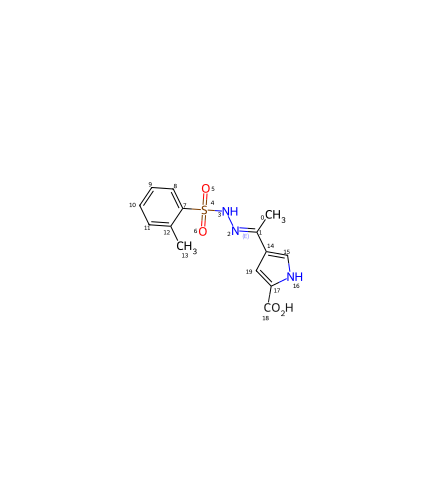 C/C(=N\NS(=O)(=O)c1ccccc1C)c1c[nH]c(C(=O)O)c1